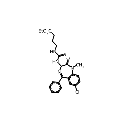 CCOC(=O)CCCNC(=S)NC1N=C(c2ccccc2)c2cc(Cl)ccc2N(C)C1=O